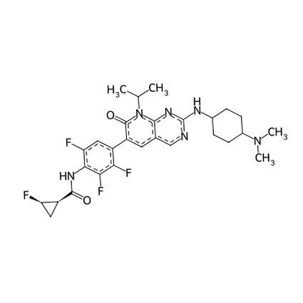 CC(C)n1c(=O)c(-c2cc(F)c(NC(=O)[C@H]3C[C@H]3F)c(F)c2F)cc2cnc(NC3CCC(N(C)C)CC3)nc21